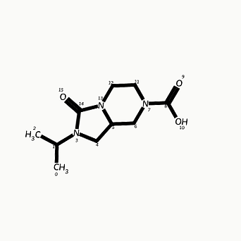 CC(C)N1CC2CN(C(=O)O)CCN2C1=O